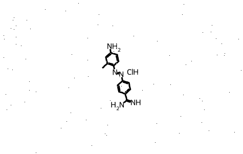 Cc1cc(N)ccc1N=Nc1ccc(C(=N)N)cc1.Cl